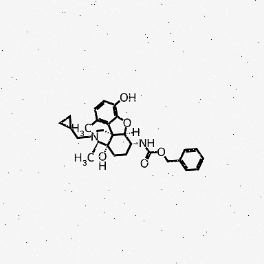 Cc1ccc(O)c2c1[C@]13CCN(CC4CC4)[C@H](C)[C@]1(O)CC[C@@H](NC(=O)OCc1ccccc1)[C@@H]3O2